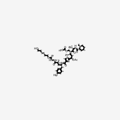 CCCC(=O)OCN(C(=O)[C@@H](NC(=O)[C@H]1CCCCN1C)C(C)CC)[C@H](C[C@@H](OC(C)=O)c1nc(C(=O)N[C@@H](Cc2ccc(O)cc2)C[C@H](C)C(=O)NNC(=O)OCCSSCCO)cs1)C(C)C